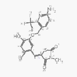 CN1C(=O)S/C(=C\c2cc(OCc3cnc(N)nc3C(F)(F)F)c(O)cc2Br)C1=O